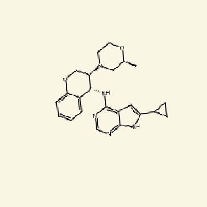 C[C@H]1CN([C@@H]2COc3ccccc3[C@H]2Nc2ncnc3[nH]c(C4CC4)cc23)CCO1